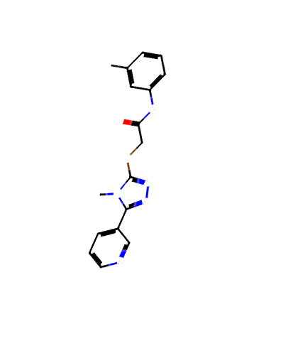 CCc1cccc(NC(=O)CSc2nnc(-c3cccnc3)n2CC)c1